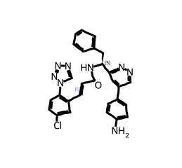 Nc1ccc(-c2cnnc([C@H](Cc3ccccc3)NC(=O)/C=C/c3cc(Cl)ccc3-n3cnnn3)c2)cc1